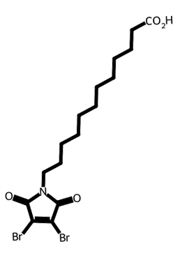 O=C(O)CCCCCCCCCCCN1C(=O)C(Br)=C(Br)C1=O